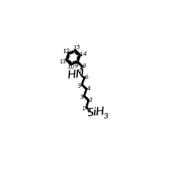 [SiH3]CCCCCCNCc1ccccc1